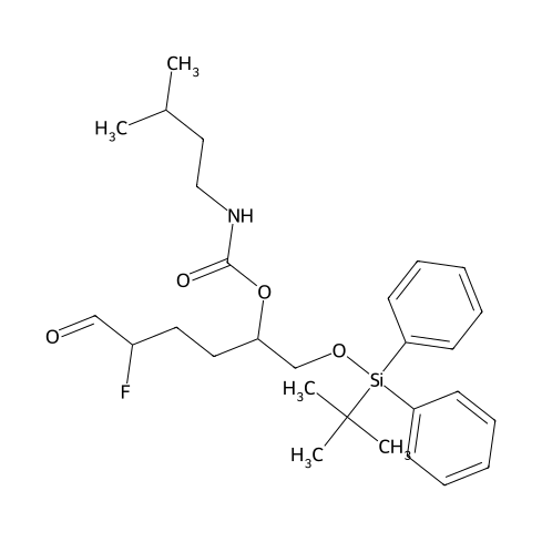 CC(C)CCNC(=O)OC(CCC(F)C=O)CO[Si](c1ccccc1)(c1ccccc1)C(C)(C)C